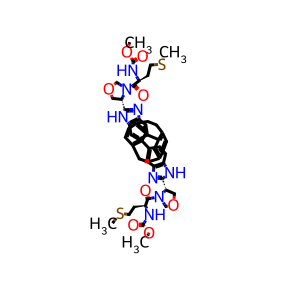 COC(=O)N[C@@H](CCSC)C(=O)N1COC[C@H]1c1nc2cc(-c3cc4ccc3CCc3ccc(c(-c5ccc6[nH]c([C@@H]7COCN7C(=O)[C@H](CCSC)NC(=O)OC)nc6c5)c3)CC4)ccc2[nH]1